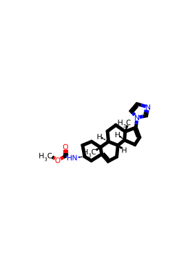 COC(=O)N[C@@H]1CC[C@@]2(C)C(=CC[C@@H]3[C@@H]2CC[C@]2(C)C(n4ccnc4)=CC[C@@H]32)C1